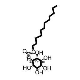 CCCCCCCCCCCCO[PH](=O)O[C@@H]1[C@@H](O)[C@H](O)[C@@H](O)[C@H](O)[C@@H]1O